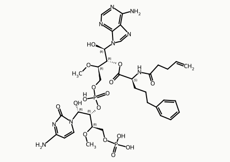 C=CCCC(=O)N[C@@H](CCCc1ccccc1)C(=O)O[C@@H]([C@@H](O)n1cnc2c(N)ncnc21)[C@@H](COP(=O)(O)O[C@@H]([C@@H](O)n1ccc(N)nc1=O)[C@@H](COP(=O)(O)O)OC)OC